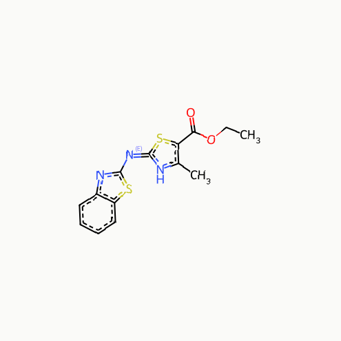 CCOC(=O)c1s/c(=N/c2nc3ccccc3s2)[nH]c1C